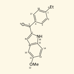 CCc1ccc(C(=O)c2cc3cc(OC)ccc3[nH]2)cc1